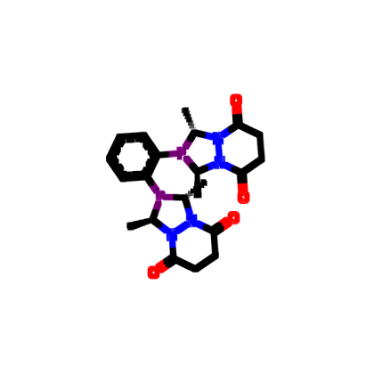 C[C@@H]1N2C(=O)CCC(=O)N2[C@@H](C)P1c1ccccc1P1[C@H](C)N2C(=O)CCC(=O)N2[C@H]1C